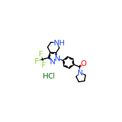 Cl.O=C(c1ccc(-n2nc(C(F)(F)F)c3c2CNCC3)cc1)N1CCCC1